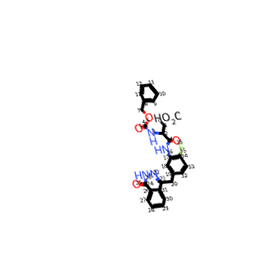 O=C(O)CC(NC(=O)OCc1ccccc1)C(=O)Nc1cc(Cc2n[nH]c(=O)c3ccccc23)ccc1F